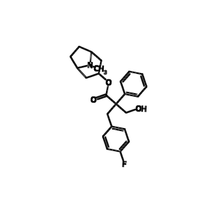 CN1C2CCC1CC(OC(=O)C(CO)(Cc1ccc(F)cc1)c1ccccc1)C2